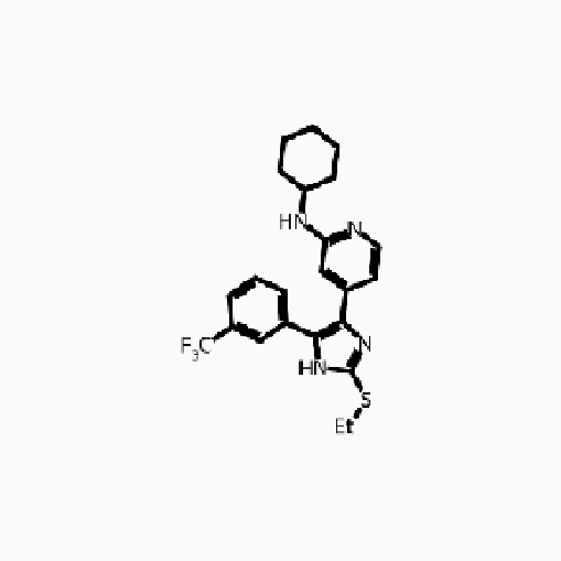 CCSc1nc(-c2ccnc(NC3CCCCC3)c2)c(-c2cccc(C(F)(F)F)c2)[nH]1